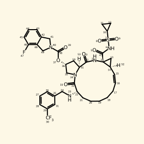 O=C1N[C@]2(C(=O)NS(=O)(=O)C3CC3)C[C@H]2/C=C\CCCCC[C@H](NCc2cccc(C(F)(F)F)c2)C(=O)N2C[C@H](OC(=O)N3Cc4cccc(F)c4C3)C[C@@H]12